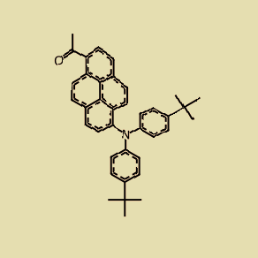 CC(=O)c1ccc2ccc3c(N(c4ccc(C(C)(C)C)cc4)c4ccc(C(C)(C)C)cc4)ccc4ccc1c2c43